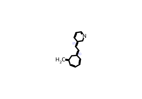 C=C1C=CC=C/C(=C/C=C2/C=CC=NC2)C1